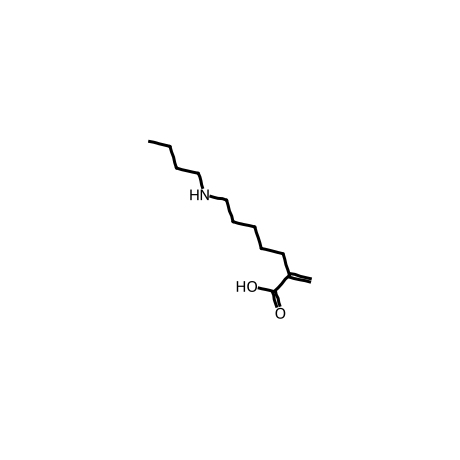 C=C(CCCCCNCCCC)C(=O)O